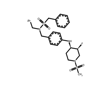 CC(C)CN(Cc1ccc(N[C@@H]2CCN(S(C)(=O)=O)C[C@@H]2F)cc1)S(=O)(=O)Cc1ccccc1